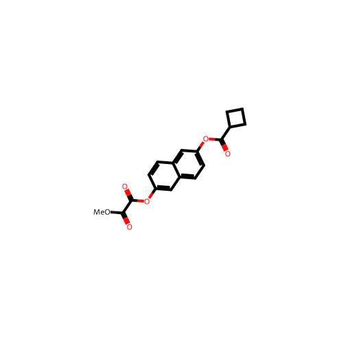 COC(=O)C(=O)Oc1ccc2cc(OC(=O)C3CCC3)ccc2c1